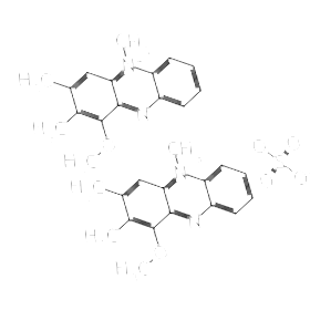 COc1c(C)c(C)cc2c1nc1ccccc1[n+]2C.COc1c(C)c(C)cc2c1nc1ccccc1[n+]2C.O=S(=O)([O-])[O-]